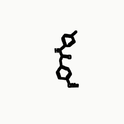 COc1ccc(CC(=O)Nc2ccc(C)cc2)cc1